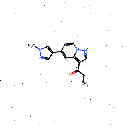 CCC(=O)c1cnn2ccc(-c3cnn(C)c3)cc12